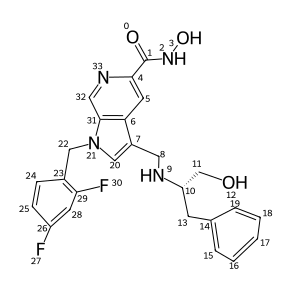 O=C(NO)c1cc2c(CN[C@H](CO)Cc3ccccc3)cn(Cc3ccc(F)cc3F)c2cn1